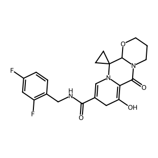 O=C(NCc1ccc(F)cc1F)C1=CN2C(=C(O)C1)C(=O)N1CCCOC1C21CC1